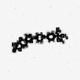 CC(C)(C)c1ccc(N2CCN(c3nccc(/C=C4/SC(=O)NC4=O)n3)CC2)cc1